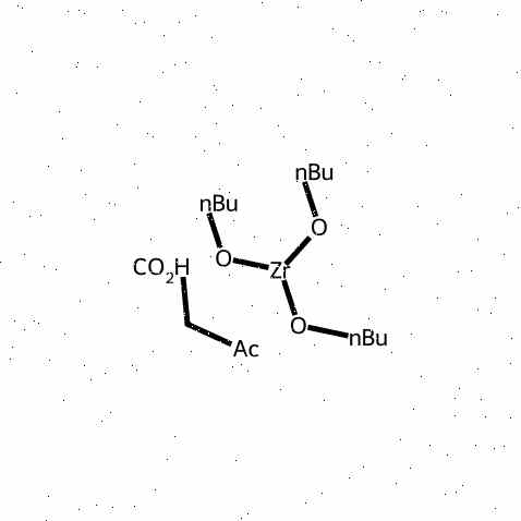 CC(=O)CC(=O)O.CCCC[O][Zr]([O]CCCC)[O]CCCC